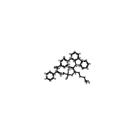 NCCCN(CC(F)(F)F)C(=O)C1c2ccccc2-c2cccc(-c3ccc(NC(=O)c4ccccc4)cn3)c21